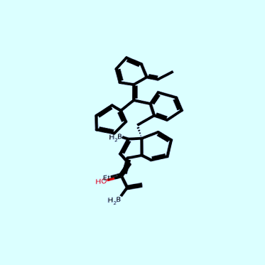 BC(=C)/C(O)=C/C=C(/B)[C@@]1(Cc2ccccc2/C(c2ccccc2)=c2/cccc/c2=C\C)C=CC=CC1/C=C/CC